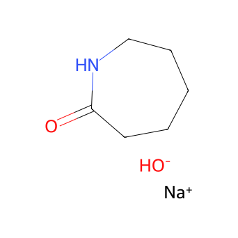 O=C1CCCCCN1.[Na+].[OH-]